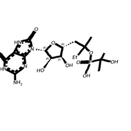 CCC(C)(C[C@H]1O[C@@H](n2c(=O)[nH]c3c(=O)[nH]c(N)nc32)[C@H](O)[C@@H]1O)OP(=O)(O)C(C)(C)O